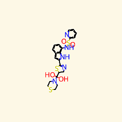 O=S(=O)(Nc1cccc2cc(C3=NCC(C(O)(O)N4CCSCC4)S3)[nH]c12)c1ccccn1